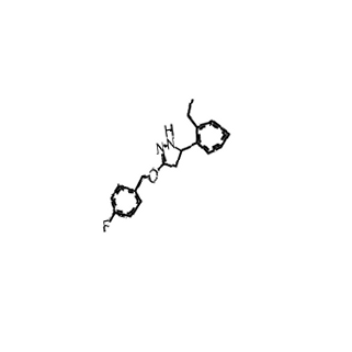 CCc1ccccc1C1CC(OCc2ccc(F)cc2)=NN1